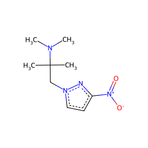 CN(C)C(C)(C)Cn1ccc([N+](=O)[O-])n1